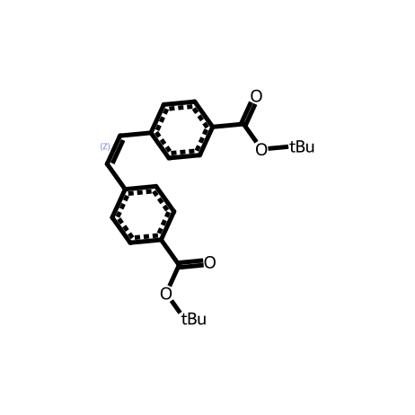 CC(C)(C)OC(=O)c1ccc(/C=C\c2ccc(C(=O)OC(C)(C)C)cc2)cc1